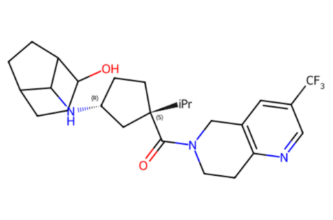 CC(C)[C@]1(C(=O)N2CCc3ncc(C(F)(F)F)cc3C2)CC[C@@H](NC2C3CCC(O)C2CC3)C1